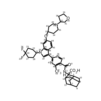 O=C(NC1(C(=O)O)C2CC3CC(C2)CC1C3)c1cnc(-c2cn(C3CCC(F)(F)CC3)c3cc(OC4CCN(C5CCOC5)CC4)ccc23)nc1C(F)(F)F